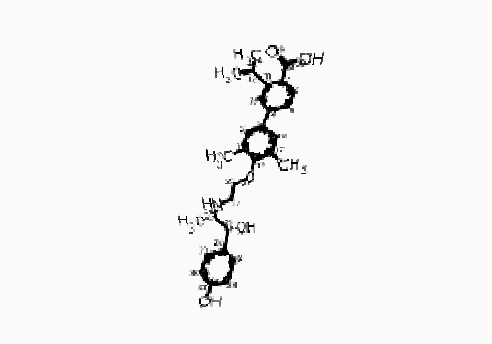 Cc1cc(-c2ccc(C(=O)O)c(C(C)C)c2)cc(C)c1OCCN[C@@H](C)[C@H](O)c1ccc(O)cc1